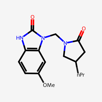 CCCC1CC(=O)N(Cn2c(=O)[nH]c3ccc(OC)cc32)C1